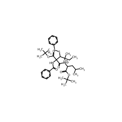 CCC(C)(C)C(SSc1ccccc1)C(NC(=O)c1ccccc1)(C(=O)NC(CC(C)C)C(=O)OC(C)(C)C)C(=O)OC(C)(C)C